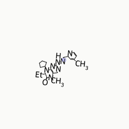 CCC1C(=O)N(C)c2cnc(N/N=C/c3cc(C)ccn3)nc2N1C1CCCC1